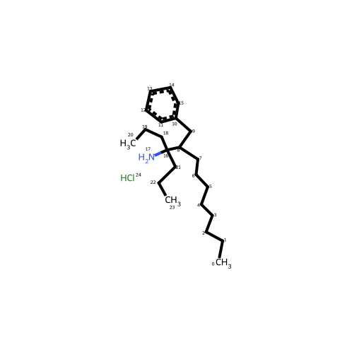 CCCCCCCCC(Cc1ccccc1)C(N)(CCC)CCC.Cl